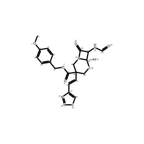 COc1ccc(COC(=O)C2(C=Cc3csnn3)CS[C@@H]3C(NC=O)C(=O)N3C2)cc1